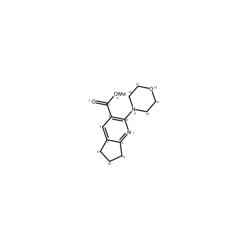 COC(=O)c1cc2c(nc1N1CCOCC1)CCC2